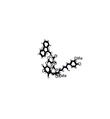 CNC(=O)CC(OC(=O)[C@H](C)N(C)C(=O)OCC1c2ccccc2-c2ccccc21)C1(C)OC1C(C)C1CC(O)(C(/C=C/C=C(\C)Cc2ccc(Cl)c(OC)c2)OC)NC(=O)O1